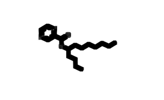 CCCCCCCC(CCCC)OC(=O)c1cnccn1